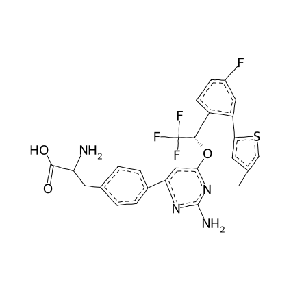 Cc1csc(-c2cc(F)ccc2[C@H](Oc2cc(-c3ccc(CC(N)C(=O)O)cc3)nc(N)n2)C(F)(F)F)c1